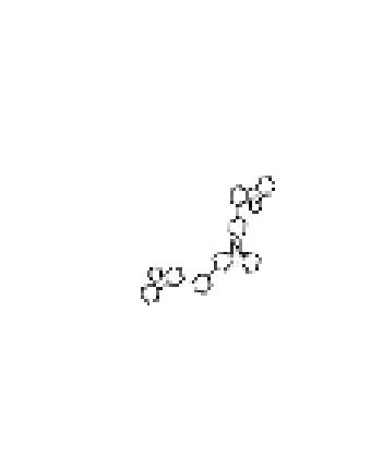 c1cc(-c2ccc3oc4ccccc4c3c2)cc(-c2ccc3c(c2)c2ccccc2n3-c2ccc(-c3cccc4c3oc3ccccc34)cc2)c1